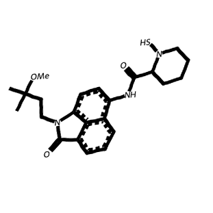 COC(C)(C)CCN1C(=O)c2cccc3c(NC(=O)C4CCCCN4S)ccc1c23